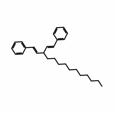 CCCCCCCCCCC[C](C=Cc1ccccc1)C=Cc1ccccc1